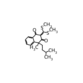 CSC(SC)=C1C(=O)c2ccccc2C(C)(CCC(C)C)C1=O